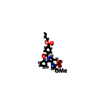 C=CCOC(=O)c1ccc(C(=O)n2cc3c(c2-c2ccccc2)N2CC(OC)C2S(=O)(=O)C3)cc1